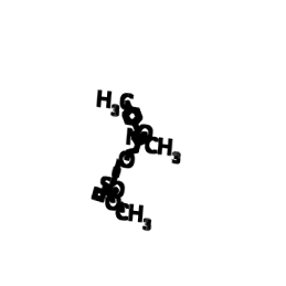 CCOC(=O)C1(SCC#CCOCCc2nc(-c3ccc(C)cc3)oc2C)CCC1